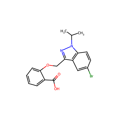 CC(C)n1nc(COc2ccccc2C(=O)O)c2cc(Br)ccc21